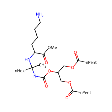 CCCCCCC(C)(NC(=O)OC(COC(=O)CCCCC)COC(=O)CCCCC)NC(CCCCN)C(=O)OC